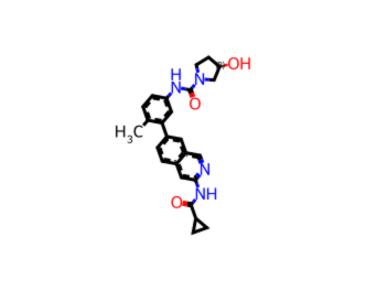 Cc1ccc(NC(=O)N2CC[C@@H](O)C2)cc1-c1ccc2cc(NC(=O)C3CC3)ncc2c1